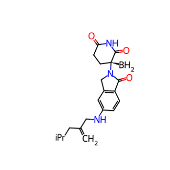 B[C@@]1(N2Cc3cc(NCC(=C)CC(C)C)ccc3C2=O)CCC(=O)NC1=O